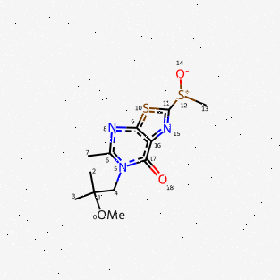 COC(C)(C)Cn1c(C)nc2sc([S+](C)[O-])nc2c1=O